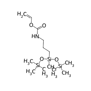 C=COC(=O)NCCC[Si](C)(O[Si](C)(C)C)O[Si](C)(C)C